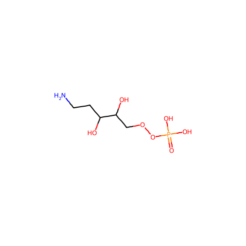 NCCC(O)C(O)COOP(=O)(O)O